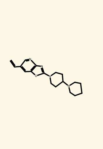 C=Cc1cnc2nc(N3CCC(N4CCCCC4)CC3)oc2c1